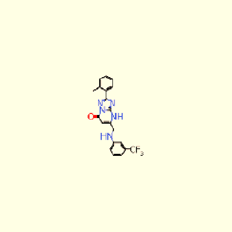 Cc1ccccc1-c1nc2[nH]c(CNc3cccc(C(F)(F)F)c3)cc(=O)n2n1